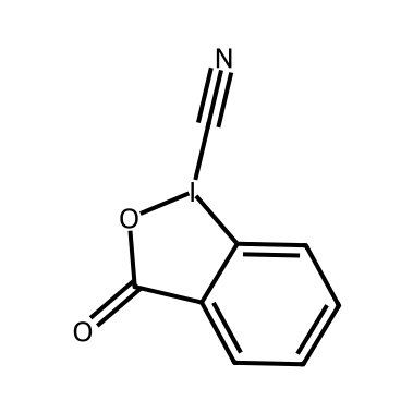 N#CI1OC(=O)c2ccccc21